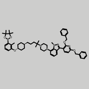 Cc1c(O[C@H]2CC[C@H](CCCC(C)(C)N3CCN(c4cccc5c(-c6ccc(OCc7ccccc7)nc6OCc6ccccc6)nn(C)c45)CC3)CC2)cccc1B1OC(C)(C)C(C)(C)O1